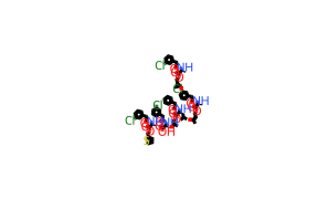 CC(C)=CCOC(=O)[C@H](C)NC(=O)Cc1cccc(Cl)c1.CC(C)COC(=O)[C@H](CC(C)C)NC(=O)Cc1ccccc1.C[C@H](NC(=O)Cc1cccc(Cl)c1)C(=O)O.C[C@H](NC(=O)Cc1cccc(Cl)c1)C(=O)OCC1CC1.C[C@H](NC(=O)Cc1cccc(Cl)c1)C(=O)OCc1cccs1